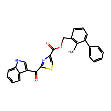 Cc1c(COC(=O)c2csc(C(=O)c3c[nH]c4ccccc34)n2)cccc1-c1ccccc1